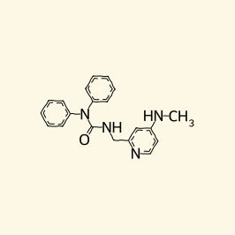 CNc1ccnc(CNC(=O)N(c2ccccc2)c2ccccc2)c1